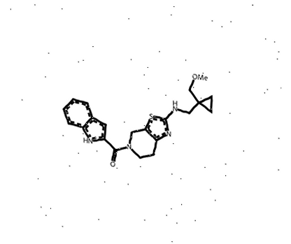 COCC1(CNc2nc3c(s2)CN(C(=O)c2cc4ccccc4[nH]2)CC3)CC1